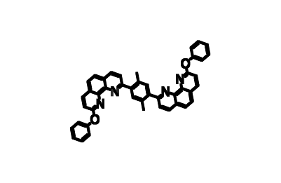 Cc1cc(-c2ccc3ccc4ccc(Oc5ccccc5)nc4c3n2)c(C)cc1-c1ccc2ccc3ccc(Oc4ccccc4)nc3c2n1